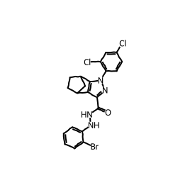 O=C(NNc1ccccc1Br)c1nn(-c2ccc(Cl)cc2Cl)c2c1C1CCC2C1